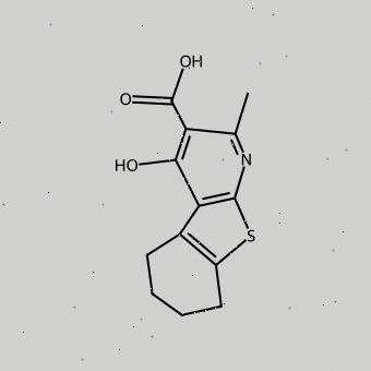 Cc1nc2sc3c(c2c(O)c1C(=O)O)CCCC3